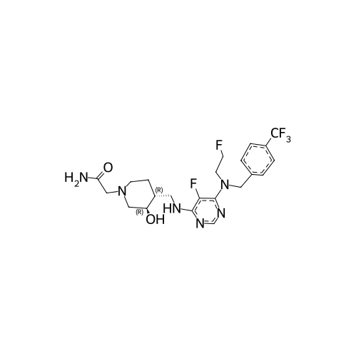 NC(=O)CN1CC[C@H](CNc2ncnc(N(CCF)Cc3ccc(C(F)(F)F)cc3)c2F)[C@@H](O)C1